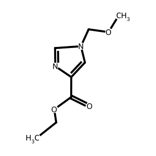 CCOC(=O)c1cn(COC)cn1